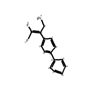 CC(C)CC(=C(F)F)c1ccc(-c2ccccc2)cc1